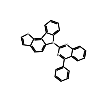 c1ccc(-c2nc(-n3c4ccccc4c4c5sccc5ccc43)nc3ccccc23)cc1